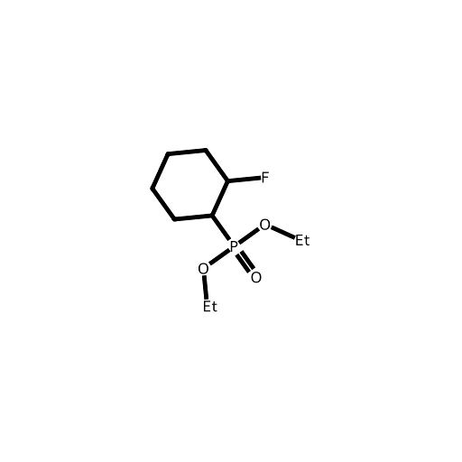 CCOP(=O)(OCC)C1CCCCC1F